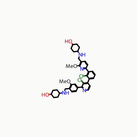 COc1cc(-c2nccc(-c3cccc(-c4ccc(CNC5CCC(O)CC5)c(OC)n4)c3Cl)c2Cl)ccc1CNC1CCC(O)CC1